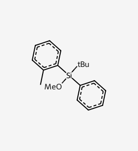 CO[Si](c1ccccc1)(c1ccccc1C)C(C)(C)C